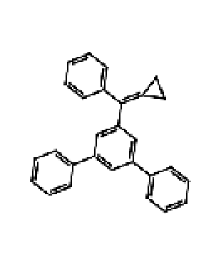 c1ccc(C(=C2CC2)c2cc(-c3ccccc3)cc(-c3ccccc3)c2)cc1